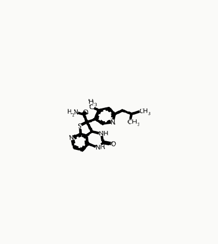 Cc1cc(CC(C)C)ncc1C1(C(N)=O)Sc2nccc3c2C1NC(=O)N3